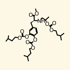 COC(=O)[C@H](Cc1ccc(OC(=O)OCCC(C)C)c(OC(=O)OCCC(C)C)c1)NCC(C)OC(=O)OCCC(C)C